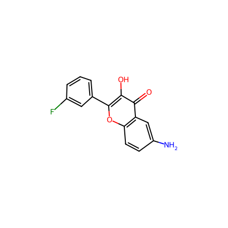 Nc1ccc2oc(-c3cccc(F)c3)c(O)c(=O)c2c1